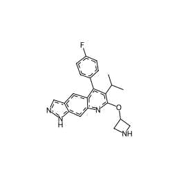 CC(C)c1c(OC2CNC2)nc2cc3[nH]ncc3cc2c1-c1ccc(F)cc1